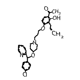 C=CCc1c(OCCCN2CCC(OC(c3ccc(Cl)cc3)c3ccccn3)CC2)ccc(C(C)=O)c1O